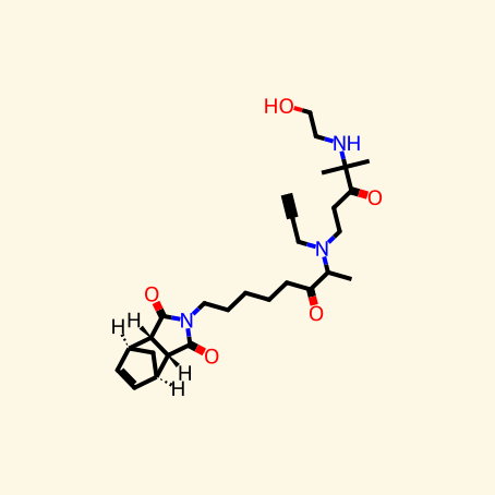 C#CCN(CCC(=O)C(C)(C)NCCO)C(C)C(=O)CCCCCN1C(=O)[C@@H]2[C@H](C1=O)[C@H]1C=C[C@@H]2C1